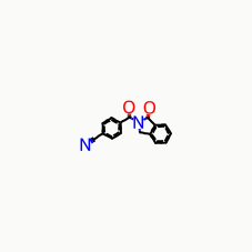 N#Cc1ccc(C(=O)N2Cc3ccccc3C2=O)cc1